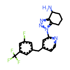 NC1CCCc2c1nnn2-c1cc(Cc2cc(F)cc(C(F)(F)F)c2)ccn1